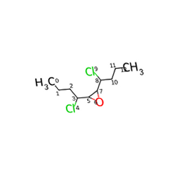 CCCC(Cl)C1OC1C(Cl)CCC